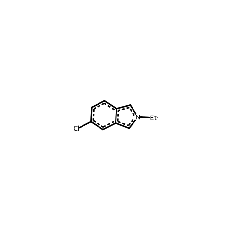 C[CH]n1cc2ccc(Cl)cc2c1